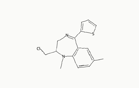 Cc1ccc2c(c1)C(c1cccs1)=NCC(CCl)N2C